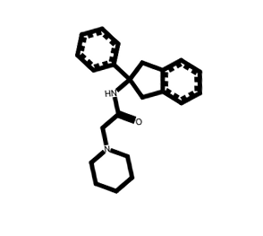 O=C(CN1CCCCC1)NC1(c2ccccc2)Cc2ccccc2C1